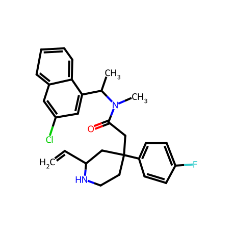 C=CC1CC(CC(=O)N(C)C(C)c2cc(Cl)cc3ccccc23)(c2ccc(F)cc2)CCN1